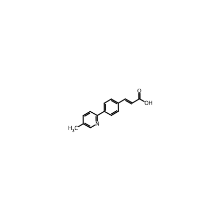 Cc1ccc(-c2ccc(/C=C/C(=O)O)cc2)nc1